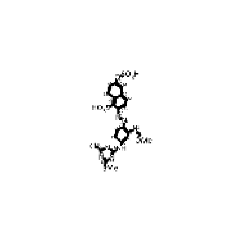 CO/C=N\c1cc(Nc2nc(Cl)nc(SC)n2)ccc1N=Nc1ccc2cc(OS(=O)(=O)O)ccc2c1S(=O)(=O)O